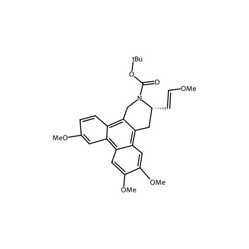 CO/C=C/[C@@H]1Cc2c(c3ccc(OC)cc3c3cc(OC)c(OC)cc23)CN1C(=O)OC(C)(C)C